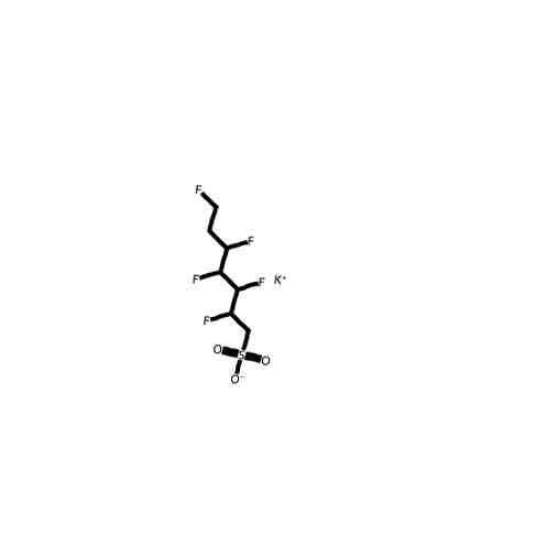 O=S(=O)([O-])CC(F)C(F)C(F)C(F)CCF.[K+]